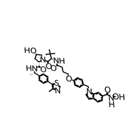 Cc1ncsc1-c1ccc([C@H](C)NC(=O)[C@@H]2C[C@@H](O)CN2C(=O)[C@@H](NC(=O)CCCOc2ccc(Cn3ccc4ccc(C(=O)NO)cc43)cc2)C(C)(C)C)cc1